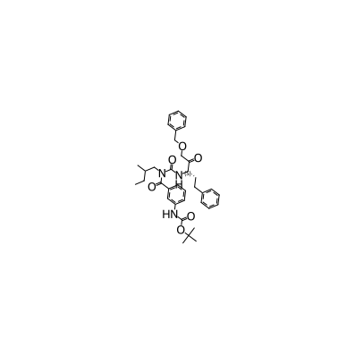 CCC(C)CN(C(=O)N[C@@H](CCc1ccccc1)C(=O)COCc1ccccc1)C(=O)c1cccc(NC(=O)OC(C)(C)C)c1